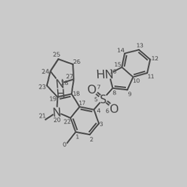 Cc1ccc(S(=O)(=O)c2cc3ccccc3[nH]2)c2c3c(n(C)c12)CC1CCC3N1